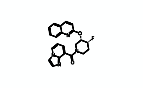 O=C(c1cccn2ccnc12)N1CC[C@@H](F)[C@@H](Oc2ccc3ccccc3n2)C1